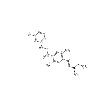 CCN(C)C=Nc1cc(C)c(C(=O)CNc2cccc(Cl)c2)cc1C